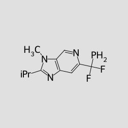 CC(C)c1nc2cc(C(F)(F)P)ncc2n1C